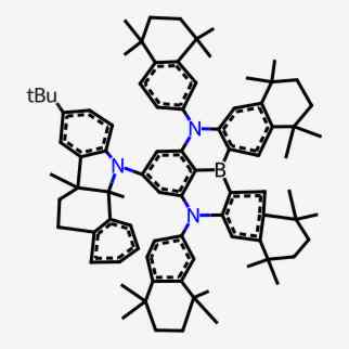 CC(C)(C)c1ccc2c(c1)C1(C)CCc3ccccc3C1(C)N2c1cc2c3c(c1)N(c1ccc4c(c1)C(C)(C)CCC4(C)C)c1cc4c(cc1B3c1cc3c(cc1N2c1ccc2c(c1)C(C)(C)CCC2(C)C)C(C)(C)CCC3(C)C)C(C)(C)CCC4(C)C